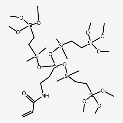 C=CC(=O)NCC[Si](O[Si](C)(C)CC[Si](OC)(OC)OC)(O[Si](C)(C)CC[Si](OC)(OC)OC)O[Si](C)(C)CC[Si](OC)(OC)OC